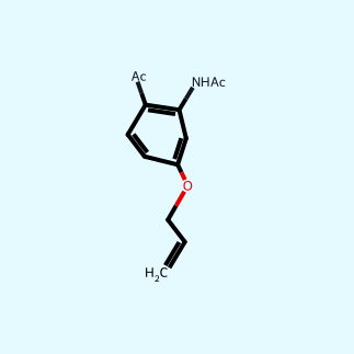 C=CCOc1ccc(C(C)=O)c(NC(C)=O)c1